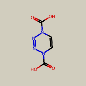 O=C(O)N1C=CN(C(=O)O)N=N1